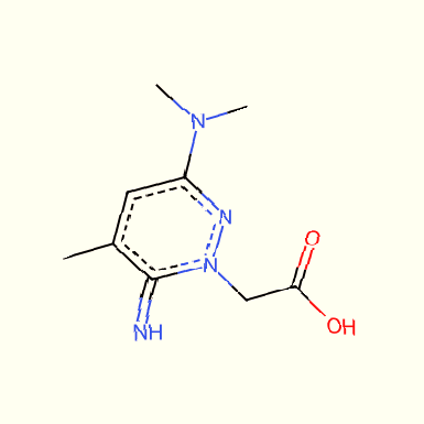 Cc1cc(N(C)C)nn(CC(=O)O)c1=N